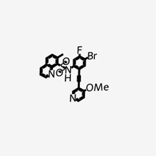 COc1ccncc1C#Cc1cc(Br)c(F)cc1NS(=O)(=O)c1c(C)ccc2cccnc12